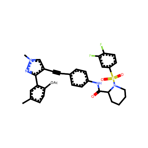 CC(=O)Oc1ccc(C)cc1-c1nn(C)cc1C#Cc1ccc(NC(=O)C2CCCCN2S(=O)(=O)c2ccc(F)c(F)c2)cc1